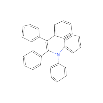 c1ccc(C(=C(c2ccccc2)N(c2ccccc2)c2ccccc2)c2ccccc2)cc1